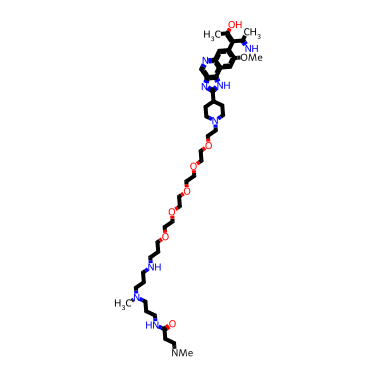 CNCCC(=O)NCCCN(C)CCCNCCCOCCOCCOCCOCCOCCN1CCC(c2nc3cnc4cc(/C(C(C)=N)=C(\C)O)c(OC)cc4c3[nH]2)CC1